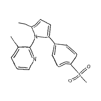 Cc1cccnc1-n1c(C)ccc1-c1ccc(S(C)(=O)=O)cc1